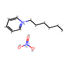 CCCCCC[n+]1ccccc1.O=[N+]([O-])[O-]